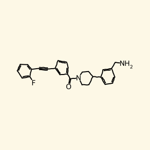 NCc1cccc(C2CCN(C(=O)c3cccc(C#Cc4ccccc4F)c3)CC2)c1